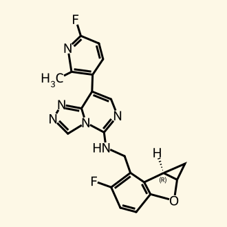 Cc1nc(F)ccc1-c1cnc(NCc2c(F)ccc3c2[C@H]2CC2O3)n2cnnc12